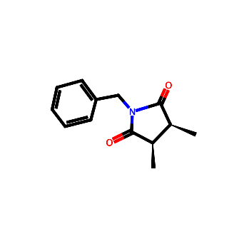 C[C@@H]1C(=O)N(Cc2ccccc2)C(=O)[C@@H]1C